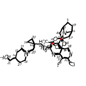 CC(C)(C)OC(=O)N1C2CCC1CN(c1nc(OCC3(CN4CCC(CO)CC4)CC3)nc3c(F)c(Cl)ncc13)C2